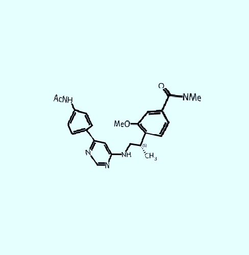 CNC(=O)c1ccc([C@H](C)CNc2cc(-c3ccc(NC(C)=O)cc3)ncn2)c(OC)c1